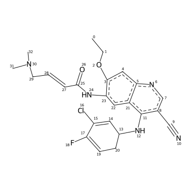 CCOc1cc2ncc(C#N)c(NC3C=C(Cl)C(F)=CC3)c2cc1NC(=O)/C=C/CN(C)C